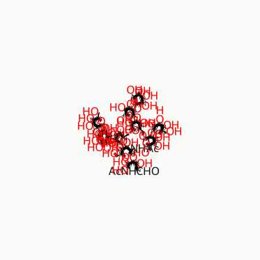 CC(=O)N[C@H]1[C@H](O[C@@H]([C@H](O)[C@H](C=O)NC(C)=O)[C@H](O)CO)O[C@H](CO)[C@@H](O[C@@H]2O[C@H](CO[C@H]3O[C@H](CO[C@H]4O[C@H](CO)[C@@H](O)[C@H](O)[C@@H]4O[C@H]4O[C@H](CO)[C@@H](O)[C@H](O)[C@@H]4O)[C@@H](O)[C@H](O[C@H]4O[C@H](CO)[C@@H](O)[C@H](O)[C@@H]4O[C@H]4O[C@H](CO)[C@@H](O)[C@H](O)[C@@H]4O)[C@@H]3O)[C@@H](O)[C@H](O[C@H]3O[C@H](CO)[C@@H](O)[C@H](O)[C@@H]3O[C@H]3O[C@H](CO)[C@@H](O)[C@H](O)[C@@H]3O[C@H]3O[C@H](CO)[C@@H](O)[C@H](O)[C@@H]3O)[C@@H]2O)[C@@H]1O